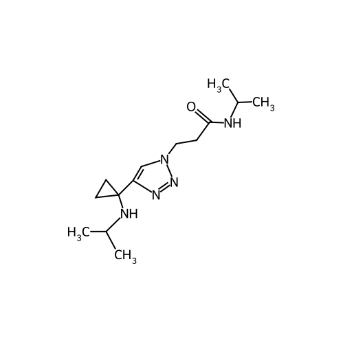 CC(C)NC(=O)CCn1cc(C2(NC(C)C)CC2)nn1